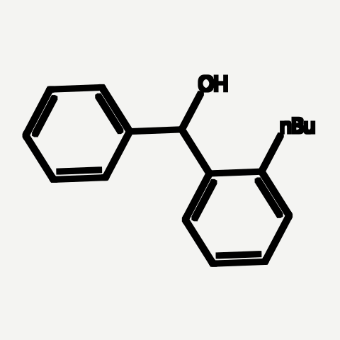 CCCCc1ccccc1C(O)c1ccccc1